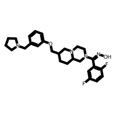 O/N=C(\c1cc(F)ccc1F)N1CCN2CC(COc3cccc(CN4CCCC4)c3)CCC2C1